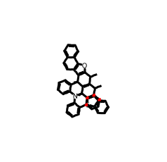 CC1C2=C3C(C)(c4ccccc4N(c4ccccc4-c4ccccc4)C3(C)c3sc4ccccc4c3C2C)c2c1oc1c2ccc2ccccc21